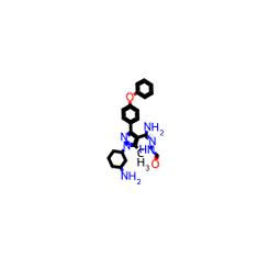 Cc1c(/C(N)=N\NC=O)c(-c2ccc(Oc3ccccc3)cc2)nn1C1CCCC(N)C1